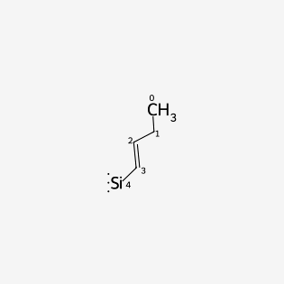 CCC=C[Si]